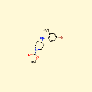 CC(C)(C)OC(=O)N1CCC(Nc2ccc(Br)cc2[N+](=O)[O-])CC1